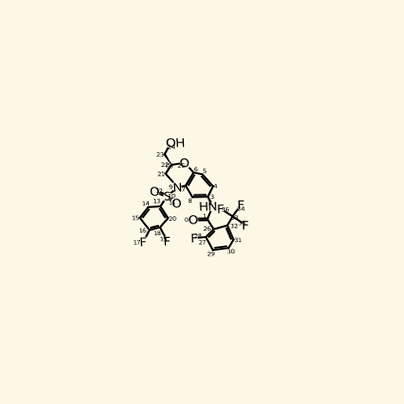 O=C(Nc1ccc2c(c1)N(S(=O)(=O)c1ccc(F)c(F)c1)C[C@@H](CO)O2)c1c(F)cccc1C(F)(F)F